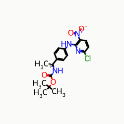 C[C@H](NC(=O)OC(C)(C)C)c1ccc(Nc2nc(Cl)ccc2[N+](=O)[O-])cc1